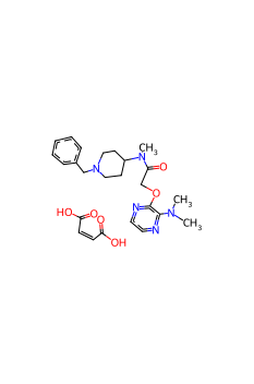 CN(C)c1nccnc1OCC(=O)N(C)C1CCN(Cc2ccccc2)CC1.O=C(O)/C=C\C(=O)O